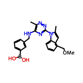 COCc1cccc2c1cc(C)n2-c1nnc(C)c(NCc2cccc(B(O)O)c2)n1